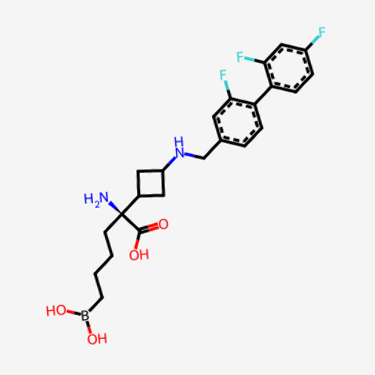 N[C@](CCCCB(O)O)(C(=O)O)C1CC(NCc2ccc(-c3ccc(F)cc3F)c(F)c2)C1